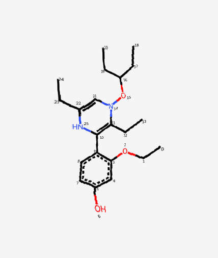 CCOc1cc(O)ccc1C1=C(CC)N(OC(CC)CC)C=C(CC)N1